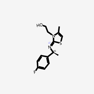 Cc1cs/c(=N\[C@@H](C)c2ccc(F)cc2)n1CCO